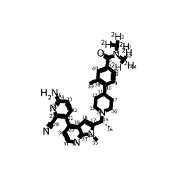 [2H]C([2H])([2H])N(C(=O)c1ccc(C2CCN([C@H](C)c3cc4c(-c5ccc(N)nc5C#N)ccnc4n3C)CC2)c(C)c1)C([2H])([2H])[2H]